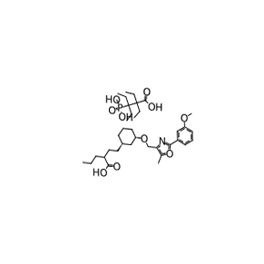 CCC(CC)(C(=O)O)C(CC)(CC)P(=O)(O)O.CCCC(CC[C@H]1CCC[C@@H](OCc2nc(-c3cccc(OC)c3)oc2C)C1)C(=O)O